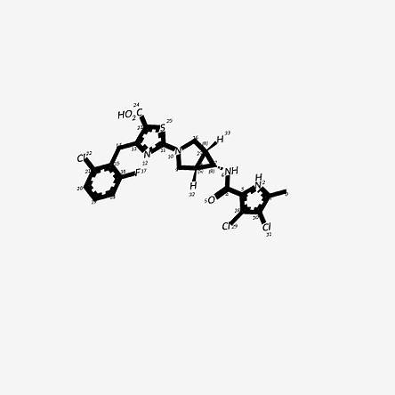 Cc1[nH]c(C(=O)N[C@@H]2[C@@H]3CN(c4nc(Cc5c(F)cccc5Cl)c(C(=O)O)s4)C[C@@H]32)c(Cl)c1Cl